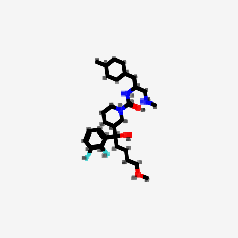 CNCC(CC1CCC(C)CC1)NC(=O)N1CCCC(C(O)(CCCCOC)c2cccc(F)c2F)C1